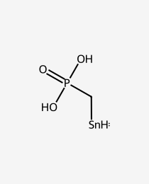 O=P(O)(O)[CH2][SnH]